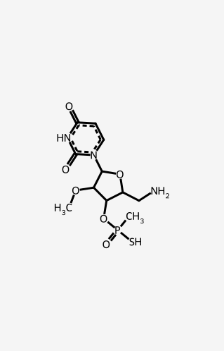 COC1C(OP(C)(=O)S)C(CN)OC1n1ccc(=O)[nH]c1=O